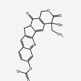 CCC1(O)C(=O)OCc2c1cc1n(c2=O)Cc2cc3ccc(OC(=O)Cl)cc3nc2-1